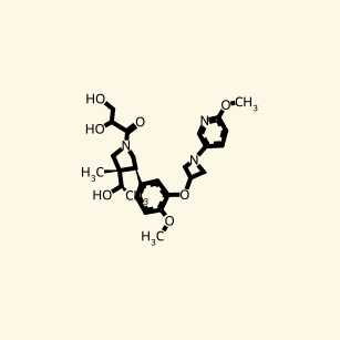 COc1ccc(N2CC(Oc3cc([C@@H]4CN(C(=O)C(O)CO)C[C@@]4(C)[C@@H](C)O)ccc3OC)C2)cn1